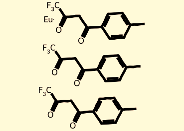 Cc1ccc(C(=O)CC(=O)C(F)(F)F)cc1.Cc1ccc(C(=O)CC(=O)C(F)(F)F)cc1.Cc1ccc(C(=O)CC(=O)C(F)(F)F)cc1.[Eu]